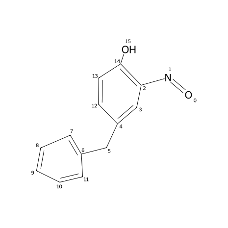 O=Nc1cc(Cc2ccccc2)ccc1O